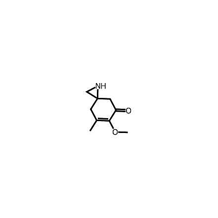 COC1=C(C)CC2(CN2)CC1=O